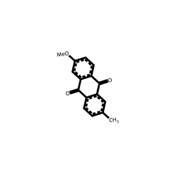 COc1ccc2c(c1)C(=O)c1ccc(C)cc1C2=O